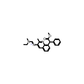 CCN(C)/C=N/c1cc2cccc(C(C(=O)OC)c3ccccc3)c2nc1C